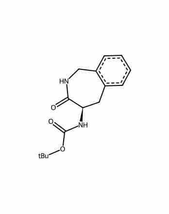 CC(C)(C)OC(=O)N[C@@H]1Cc2ccccc2CNC1=O